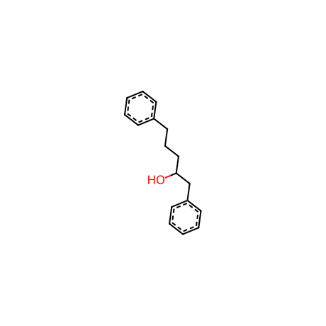 OC(CCCc1ccccc1)Cc1ccccc1